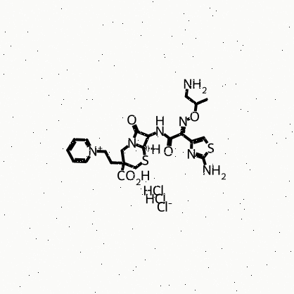 CC(CN)ON=C(C(=O)NC1C(=O)N2CC(CC[n+]3ccccc3)(C(=O)O)CS[C@H]12)c1csc(N)n1.Cl.Cl.[Cl-]